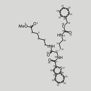 COC(=O)CCCCCNC(=O)[C@H](CCCNC(=O)OCc1ccccc1)NC(=O)c1cc2ccccc2s1